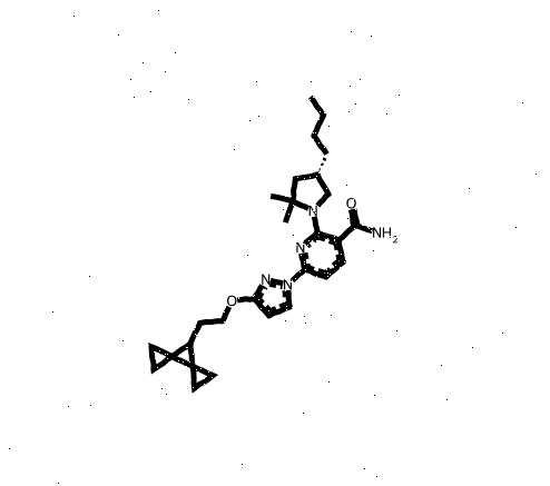 CCCC[C@@H]1CN(c2nc(-n3ccc(OCCC4C5(CC5)C45CC5)n3)ccc2C(N)=O)C(C)(C)C1